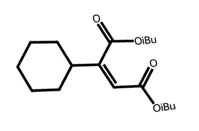 CC(C)COC(=O)C=C(C(=O)OCC(C)C)C1CCCCC1